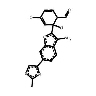 Cc1nc(-c2ccc3c(N)c(C4(Cl)C=C(Cl)C=CC4C=O)oc3c2)cs1